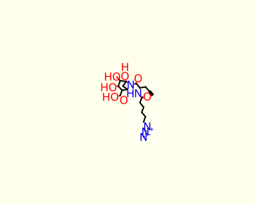 C#CCC(NC(=O)CCCCCN=[N+]=[N-])C(=O)N1C2CC1(O)C(O)C(O)C2C(=O)O